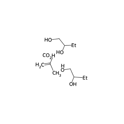 C=C(C)C(=O)O.CCC(O)CO.CCC(O)CO